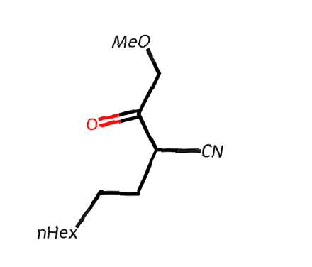 CCCCCCCCC(C#N)C(=O)COC